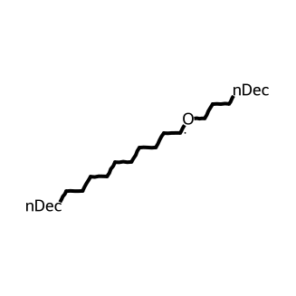 CCCCCCCCCCCCCCCCCCC[CH]OCCCCCCCCCCCCC